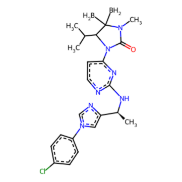 BC1(B)C(C(C)C)N(c2ccnc(N[C@@H](C)c3cn(-c4ccc(Cl)cc4)cn3)n2)C(=O)N1C